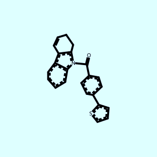 O=C(c1ccc(-c2cccs2)cc1)n1c2c(c3ccccc31)C=CCC2